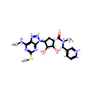 CCCCNc1nc(SCCC)nc2c1nnn2C1C[C@H](C(=O)N(C)Cc2cccnc2)C(O)C1O